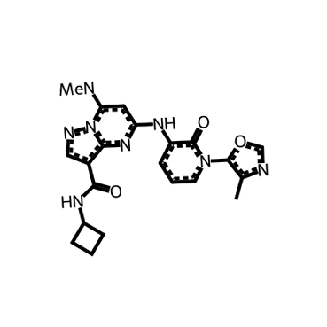 CNc1cc(Nc2cccn(-c3ocnc3C)c2=O)nc2c(C(=O)NC3CCC3)cnn12